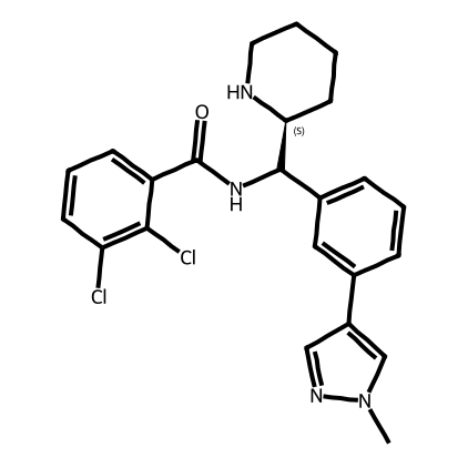 Cn1cc(-c2cccc(C(NC(=O)c3cccc(Cl)c3Cl)[C@@H]3CCCCN3)c2)cn1